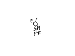 C#Cc1cc2nc(C(F)F)sc2cc1F